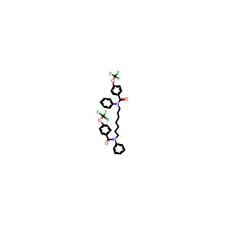 O=C(c1ccc(OC(F)(F)F)cc1)N(CCCCCCCN(C(=O)c1ccc(OC(F)(F)F)cc1)c1ccccc1)c1ccccc1